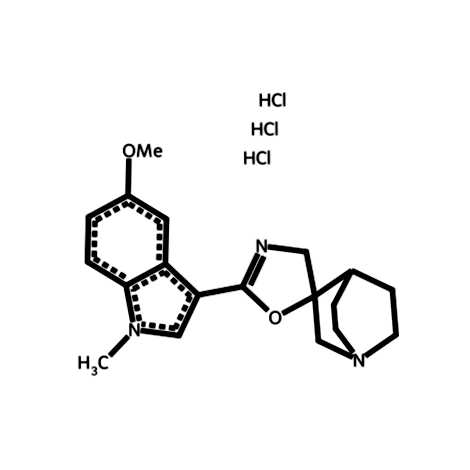 COc1ccc2c(c1)c(C1=NCC3(CN4CCC3CC4)O1)cn2C.Cl.Cl.Cl